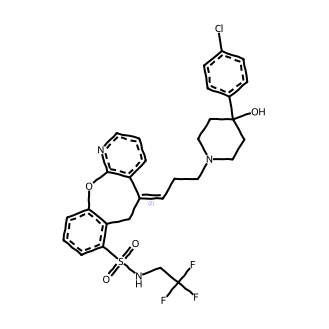 O=S(=O)(NCC(F)(F)F)c1cccc2c1C/C(=C/CCN1CCC(O)(c3ccc(Cl)cc3)CC1)c1cccnc1O2